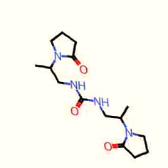 CC(CNC(=O)NCC(C)N1CCCC1=O)N1CCCC1=O